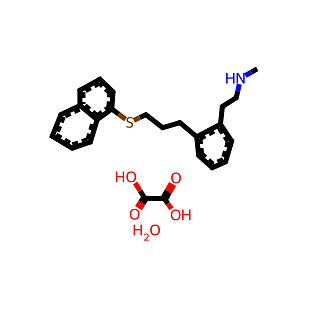 CNCCc1ccccc1CCCSc1cccc2ccccc12.O.O=C(O)C(=O)O